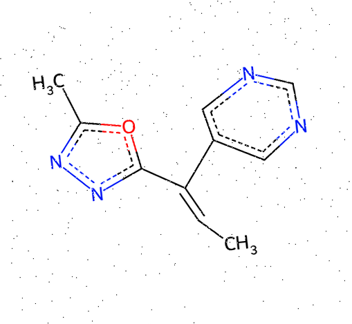 C/C=C(\c1cncnc1)c1nnc(C)o1